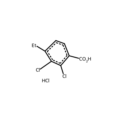 CCc1ccc(C(=O)O)c(Cl)c1Cl.Cl